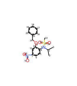 CC(C)N(c1ccc([N+](=O)[O-])cc1OCc1ccccc1)S(C)(=O)=O